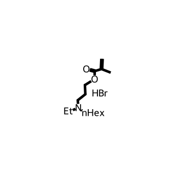 Br.C=C(C)C(=O)OCCCN(CC)CCCCCC